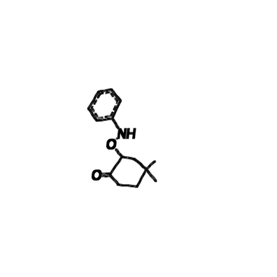 CC1(C)CCC(=O)C(ONc2ccccc2)C1